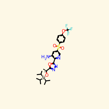 CC(C)[Si](O[C@@H](C)c1nnc(-c2ncc(S(=O)(=O)c3ccc(OC(F)(F)F)cc3)cc2N)o1)(C(C)C)C(C)C